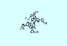 N#Cc1cccc(-c2ccc3c(c2)c2cc(-c4cccc(C#N)c4)ccc2n3-c2ccc(C#N)cc2-c2ccc(-c3c(C(F)(F)F)cccc3C(F)(F)F)cc2-n2c3ccc(-c4cccc(C#N)c4)cc3c3cc(-c4cccc(C#N)c4)ccc32)c1